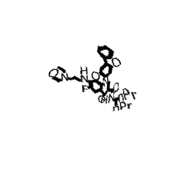 CCCC(CCC)NC(=O)c1cn2c3c(c(NCCCN4CCOCC4)c(F)cc3c1=O)Oc1cc3c(cc1-2)oc1ccccc13